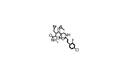 NC(=O)C(O)C(CC1CC1)NC(=O)[C@H](CC1CC1)NC(=O)/C=C/c1ccc(Cl)cc1F